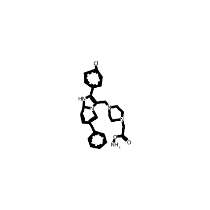 NOC(=O)CN1CCN(CC2=C(c3ccc(Cl)cc3)NC3C=CC(c4ccccc4)=CN23)CC1